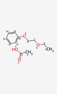 CC(=O)O.CCOCCOc1ccccc1